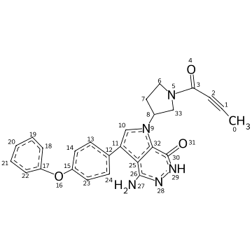 CC#CC(=O)N1CCC(n2cc(-c3ccc(Oc4ccccc4)cc3)c3c(N)n[nH]c(=O)c32)C1